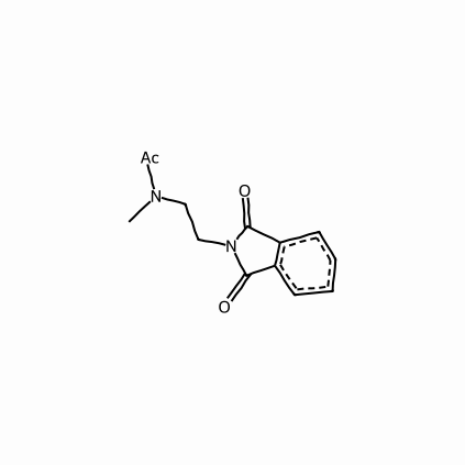 CC(=O)N(C)CCN1C(=O)c2ccccc2C1=O